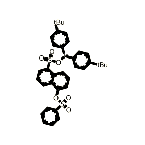 CC(C)(C)c1ccc([I+](OS(=O)(=O)c2cccc3c(OS(=O)(=O)c4ccccc4)cccc23)c2ccc(C(C)(C)C)cc2)cc1